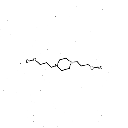 CCOCCCN1CCN(CCCOCC)CC1